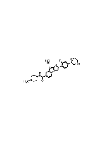 CN1CCC(NC(=O)c2ccc3c(c2)sc2nc(-c4ccc(C5CNCCO5)cc4F)cn23)CC1.Cl.Cl